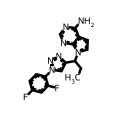 CCC(c1cn(-c2ccc(F)cc2F)nn1)n1ccc2c(N)ncnc21